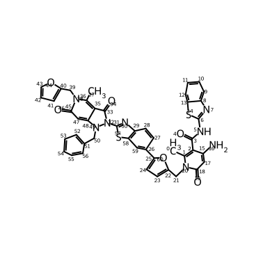 Cc1c(C(=O)Nc2nc3ccccc3s2)c(N)cc(=O)n1Cc1ccc(-c2ccc3nc(-n4c(=O)c5c(C)n(Cc6ccco6)c(=O)cc5n4Cc4ccccc4)sc3c2)o1